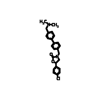 CN(C)Cc1ccc(-c2ccc(CN3CC(c4ccc(Cl)cc4)OC3=O)cc2)cc1